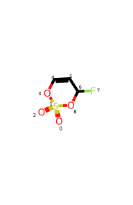 O=S1(=O)OC=CC(F)O1